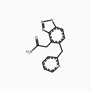 NC(=O)Cc1c(Cc2ccccn2)ccc2c1N=N[N]2